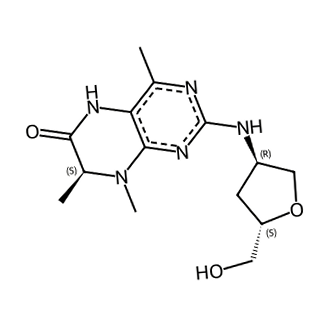 Cc1nc(N[C@H]2CO[C@H](CO)C2)nc2c1NC(=O)[C@H](C)N2C